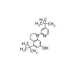 CC(C)(C)c1ccnc(N2CCCc3c2cc(O)cc3C(C)(C)C)c1